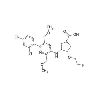 COCc1nc(-c2ccc(Cl)cc2Cl)c(COC)nc1N[C@@H]1CN(C(=O)O)C[C@@H]1OCCF